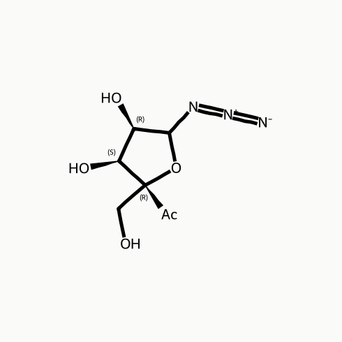 CC(=O)[C@]1(CO)OC(N=[N+]=[N-])[C@H](O)[C@@H]1O